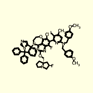 COc1ccc(CN(Cc2ccc(OC)cc2)c2cc(C)c(I)c(-c3c(Cl)c4c5c(nc(OC[C@@]67CCCN6C[C@H](F)C7)nc5c3F)N(Cc3cncn3C(c3ccccc3)(c3ccccc3)c3ccccc3)CCO4)n2)cc1